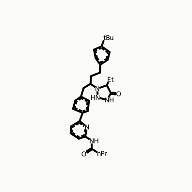 CCCC(=O)Nc1cccc(-c2ccc(CC(CCc3ccc(C(C)(C)C)cc3)N3NNC(=O)C3CC)cc2)n1